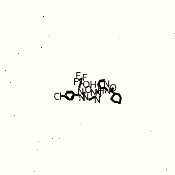 O=C(Nc1ncccc1-n1cnc(Cn2nc(-c3ccc(Cl)cc3)n(C[C@H](O)C(F)(F)F)c2=O)n1)C1CCCCC1